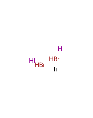 Br.Br.I.I.[Ti]